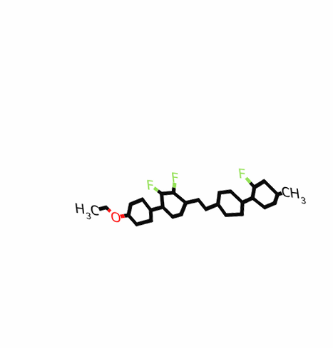 CCOC1CCC(C2CCC(CCC3CCC(C4CCC(C)CC4F)CC3)C(F)C2F)CC1